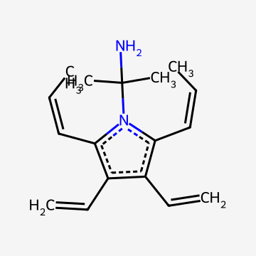 C=Cc1c(C=C)c(/C=C\C)n(C(C)(C)N)c1/C=C\C